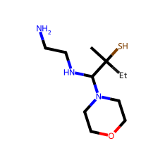 CCC(C)(S)C(NCCN)N1CCOCC1